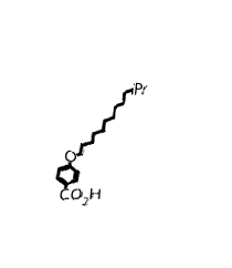 CC(C)CCCCCCCCCCOc1ccc(C(=O)O)cc1